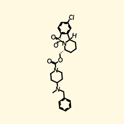 CN(Cc1ccccc1)C1CCN(C(=O)OC[C@H]2CCC[C@H]3c4cc(Cl)ccc4S(=O)(=O)N23)CC1